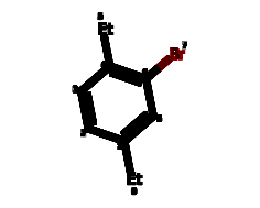 CCc1c[c]c(CC)c(Br)c1